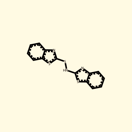 c1ccc2sc(NSc3nc4ccccc4s3)nc2c1